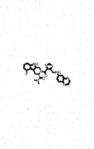 CN(C)C(=O)[C@H]1Cc2c([nH]c3cccc(F)c23)CN1C(=O)c1ncsc1CNc1ccc2nccnc2c1